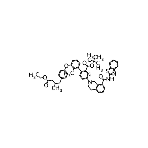 CCOC(=O)C[C@H](C)Cc1ccc(Oc2cccc(-c3ccc(N4CCc5cccc(C(=O)Nc6nc7ccccc7s6)c5C4)nc3C(=O)OC(C)(C)C)c2C)cc1